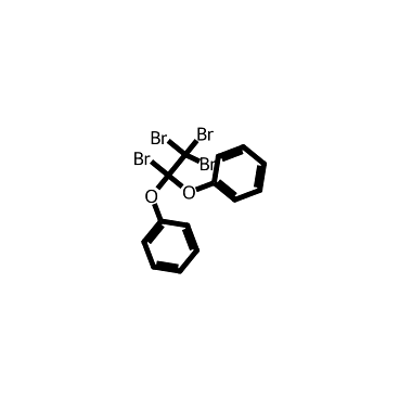 BrC(Br)(Br)C(Br)(Oc1ccccc1)Oc1ccccc1